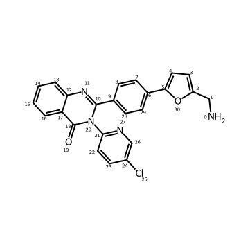 NCc1ccc(-c2ccc(-c3nc4ccccc4c(=O)n3-c3ccc(Cl)cn3)cc2)o1